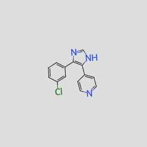 Clc1cccc(-c2nc[nH]c2-c2ccncc2)c1